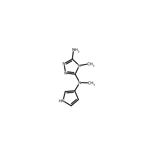 CN(c1cc[nH]c1)c1nnc(N)n1C